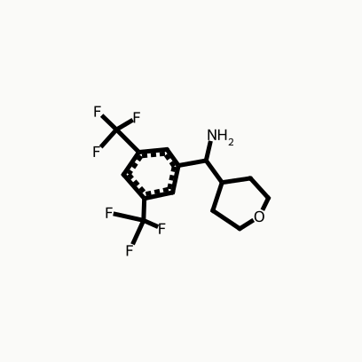 NC(c1cc(C(F)(F)F)cc(C(F)(F)F)c1)C1CCOCC1